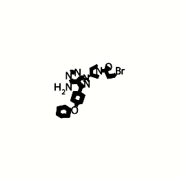 Nc1ncnc2c1c(-c1ccc(Oc3ccccc3)cc1)nn2[C@H]1CCN(C(=O)/C=C\Br)C1